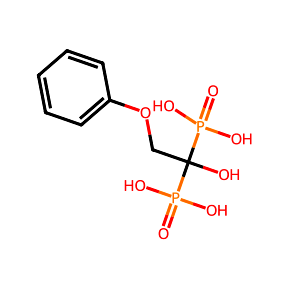 O=P(O)(O)C(O)(COc1ccccc1)P(=O)(O)O